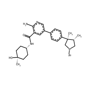 CC(C)N1C[C@@H](C)[C@](C)(c2ccc(-c3cnc(N)c(C(=O)N[C@H]4CC[C@](C)(O)CC4)c3)cc2)C1